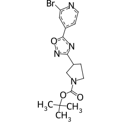 CC(C)(C)OC(=O)N1CCC(c2noc(-c3ccnc(Br)c3)n2)C1